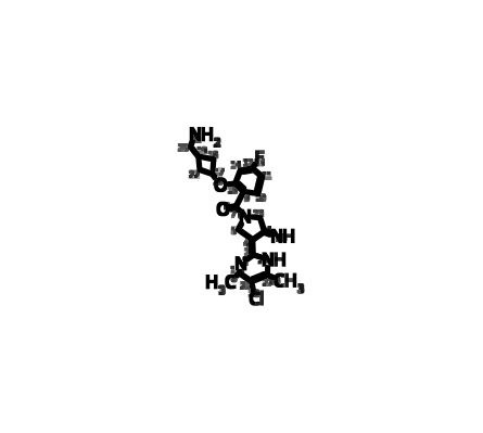 CC1=N/C(=C2\CN(C(=O)c3ccc(F)cc3OC3CC(CN)C3)CC2=N)NC(C)=C1Cl